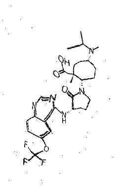 CC(C)N(C)[C@@H]1CC[C@H](N2CC[C@H](Nc3ncnc4ccc(OC(F)(F)F)cc34)C2=O)[C@](C)(C(=O)O)C1